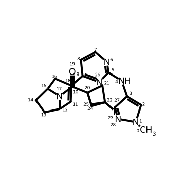 Cn1cc(Nc2nccc(C3=CC4CCC(C3)N4C(=O)C34CC(F)(C3)C4)n2)cn1